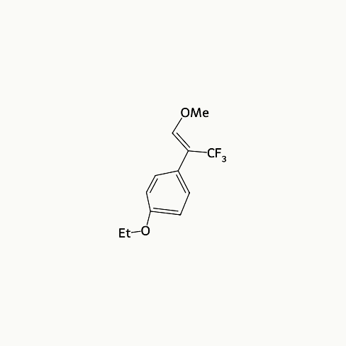 CCOc1ccc(C(=COC)C(F)(F)F)cc1